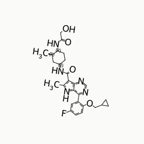 Cc1[nH]c2c(-c3cc(F)ccc3OCC3CC3)ncnc2c1C(=O)N[C@@H]1CC[C@@H](NC(=O)CO)[C@H](C)C1